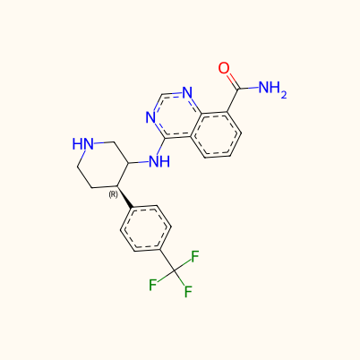 NC(=O)c1cccc2c(NC3CNCC[C@@H]3c3ccc(C(F)(F)F)cc3)ncnc12